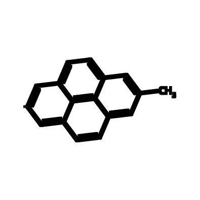 Cc1cc2ccc3c[c]cc4ccc(c1)c2c34